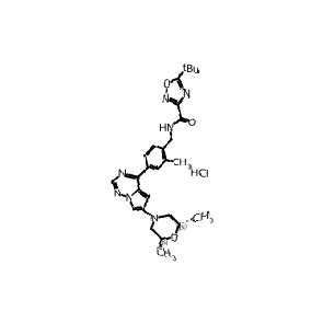 Cc1cc(-c2ncnn3cc(N4C[C@H](C)O[C@@H](C)C4)cc23)ccc1CNC(=O)c1noc(C(C)(C)C)n1.Cl